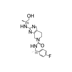 C[C@H](NC(=O)N1CCc2cnc(N[C@@H](C)CO)nc2C1)c1ccc(F)cc1